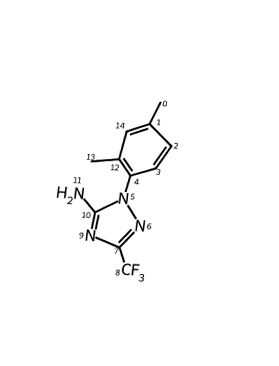 Cc1ccc(-n2nc(C(F)(F)F)nc2N)c(C)c1